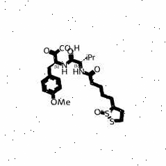 COc1ccc(C[C@H](NC(=O)[C@@H](NC(=O)CCCCC2CCS[S+]2[O-])C(C)C)C(=O)C(=O)O)cc1